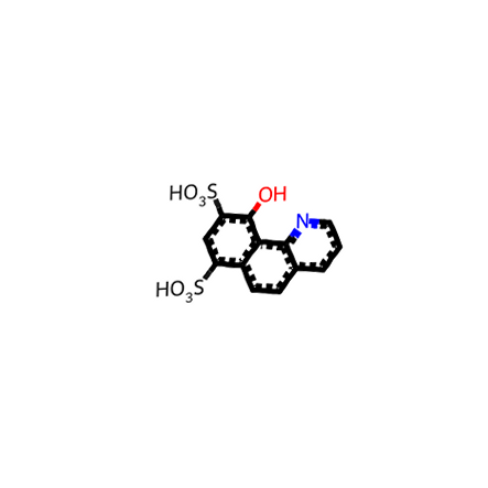 O=S(=O)(O)c1cc(S(=O)(=O)O)c2ccc3cccnc3c2c1O